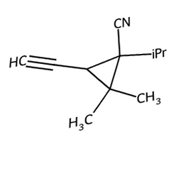 C#CC1C(C)(C)C1(C#N)C(C)C